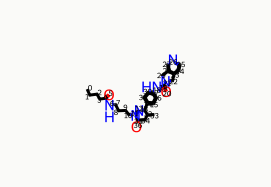 CCCCC(=O)NCCCCN1N=C(c2ccc(NC(=O)N3Cc4ccncc4C3)cc2)C(C)CC1=O